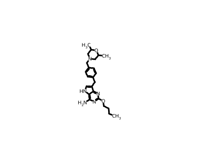 CCCCOc1nc(N)c2[nH]cc(Cc3ccc(CN4CC(C)OC(C)C4)cc3)c2n1